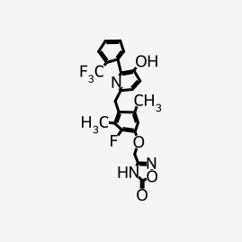 Cc1cc(OCc2noc(=O)[nH]2)c(F)c(C)c1Cc1ccc(O)c(-c2ccccc2C(F)(F)F)n1